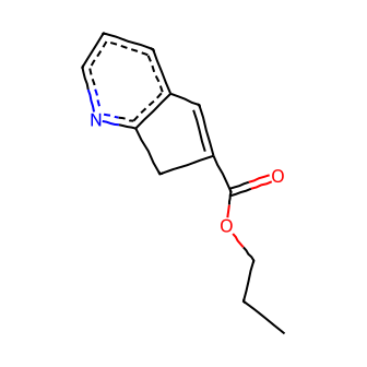 CCCOC(=O)C1=Cc2cccnc2C1